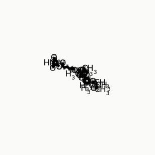 CC(C)(COCCCCC(=O)OC1CC(=O)NC1=O)C12OOC1(c1cccc(O[Si](C)(C)C(C)(C)C)c1)OCC2(C)C